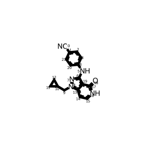 N#Cc1ccc(Nc2nn(CC3CC3)c3cc[nH]c(=O)c23)cc1